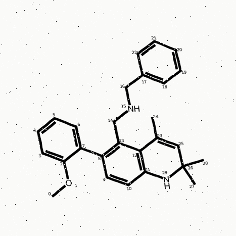 COc1ccccc1-c1ccc2c(c1CNCc1ccccc1)C(C)=CC(C)(C)N2